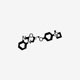 C[Si]1(c2ccc(OC[C@@H]3Cn4c(nc5ccccc54)O3)cc2)CCC1